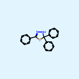 c1ccc(C2=NNC(c3ccccc3)(c3ccccc3)S2)cc1